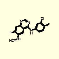 ONc1cc2c(Nc3ccc(F)c(Cl)c3)ncnc2cc1F